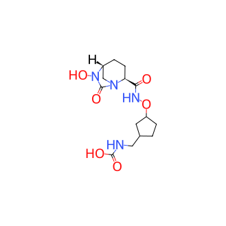 O=C(O)NCC1CCC(ONC(=O)[C@@H]2CC[C@@H]3CN2C(=O)N3O)C1